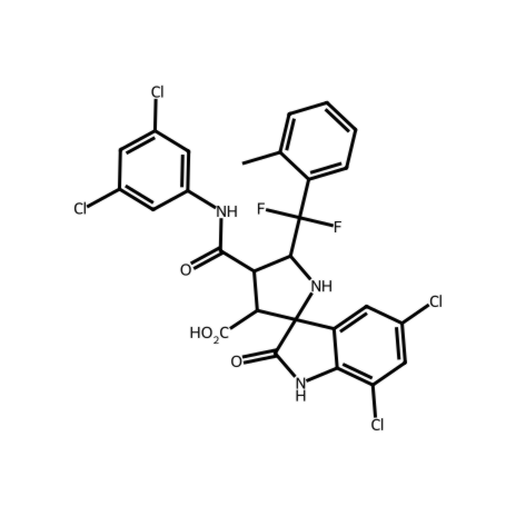 Cc1ccccc1C(F)(F)C1NC2(C(=O)Nc3c(Cl)cc(Cl)cc32)C(C(=O)O)C1C(=O)Nc1cc(Cl)cc(Cl)c1